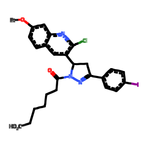 CCOc1ccc2cc(C3CC(c4ccc(I)cc4)=NN3C(=O)CCCCCC(=O)O)c(Cl)nc2c1